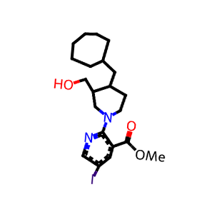 COC(=O)c1cc(I)cnc1N1CCC(CC2CCCCCC2)C(CO)C1